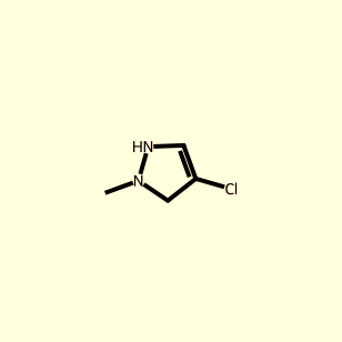 CN1CC(Cl)=CN1